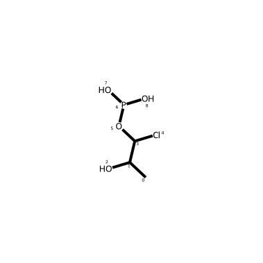 CC(O)C(Cl)OP(O)O